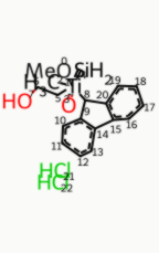 C[O][Ti]([CH3])(=[O])(=[SiH2])([CH2]CO)[CH]1c2ccccc2-c2ccccc21.Cl.Cl